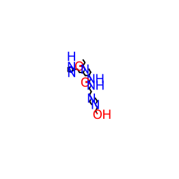 CCC(=O)N1CCC(NC(=O)NCCCN2CCN(CCO)CC2)CC1CCc1ncc[nH]1